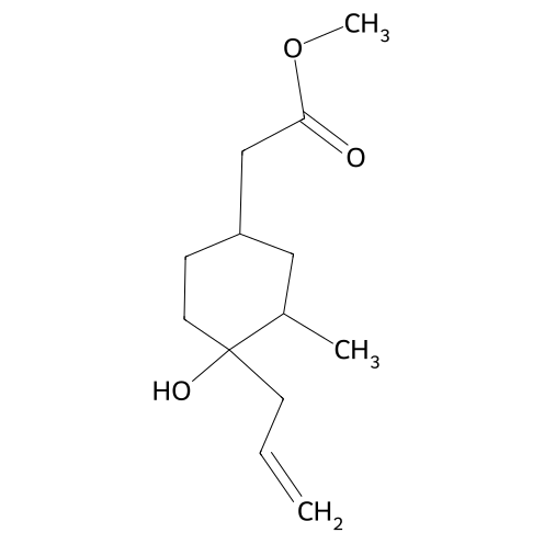 C=CCC1(O)CCC(CC(=O)OC)CC1C